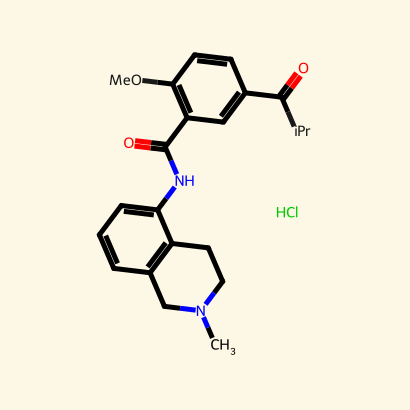 COc1ccc(C(=O)C(C)C)cc1C(=O)Nc1cccc2c1CCN(C)C2.Cl